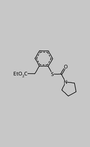 CCOC(=O)Cc1ccccc1SC(=O)N1CCCC1